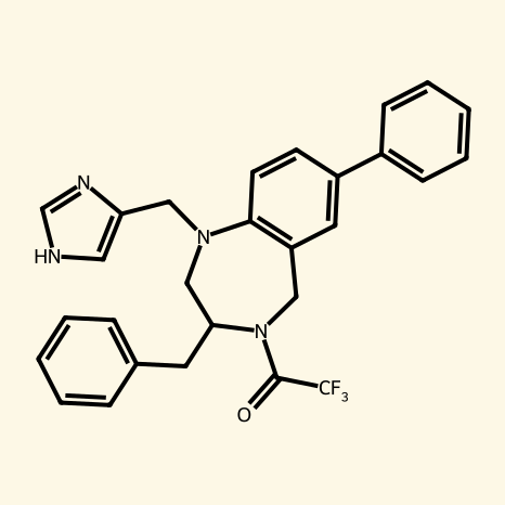 O=C(N1Cc2cc(-c3ccccc3)ccc2N(Cc2c[nH]cn2)CC1Cc1ccccc1)C(F)(F)F